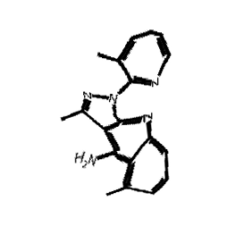 Cc1cccnc1-n1nc(C)c2c(N)c3c(C)cccc3nc21